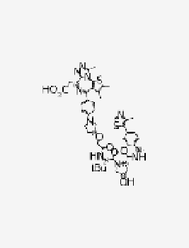 Cc1ncsc1-c1ccc([C@H](C)NC(=O)[C@@H]2C[C@@H](O)CN2C(=O)[C@@H](NC(=O)CO[C@@H]2CCN(c3ccc(C4=N[C@@H](CC(=O)O)c5nnc(C)n5-c5sc(C)c(C)c54)cc3)C2)C(C)(C)C)cc1